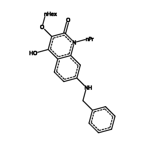 CCCCCCOc1c(O)c2ccc(NCc3ccccc3)cc2n(CCC)c1=O